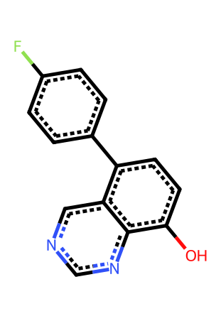 Oc1ccc(-c2ccc(F)cc2)c2cncnc12